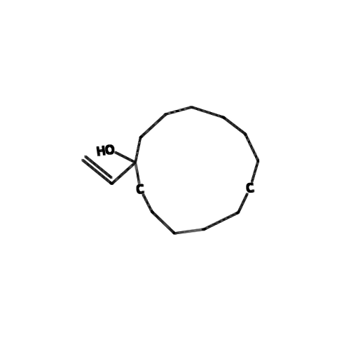 C=CC1(O)CCCCCCCCCCCC1